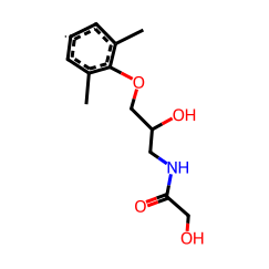 Cc1c[c]cc(C)c1OCC(O)CNC(=O)CO